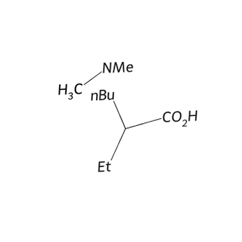 CCCCC(CC)C(=O)O.CNC